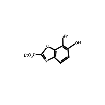 CCCc1c(O)ccc2nc(C(=O)OCC)oc12